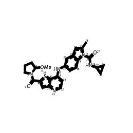 COC1CCCN1C(=O)c1cc2nccc(Nc3ccc4c(c3)cc(C)n4C(=O)NC3CC3)c2s1